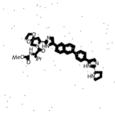 COC(=O)NC(C(=O)N1CC2(C[C@H]1c1ncc(-c3ccc4cc(-c5ccc(-c6cnc([C@@H]7CCCN7)[nH]6)cc5)ccc4c3)[nH]1)OCCO2)C(C)C